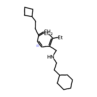 C=C(/C=C\C(CNCCC1CCCCC1)=C(CC)CC)CCC1CCC1